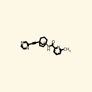 Cc1cccc(C(=O)N[C@@]23CCCC(C#Cc4cnccn4)(CC2)C3)n1